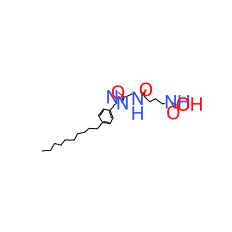 CCCCCCCCCCc1ccc(-c2noc(CNC(=O)CCCNC(=O)O)n2)cc1